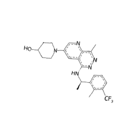 Cc1c([C@@H](C)Nc2nnc(C)c3ncc(N4CCC(O)CC4)cc23)cccc1C(F)(F)F